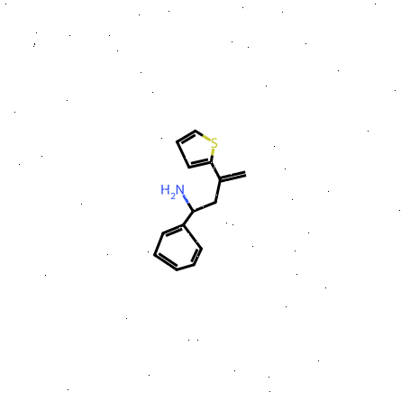 C=C(CC(N)c1ccccc1)c1cccs1